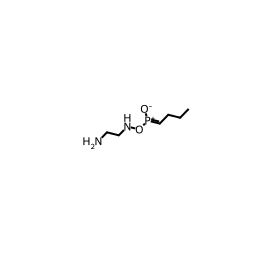 CCC/C=[P+](\[O-])ONCCN